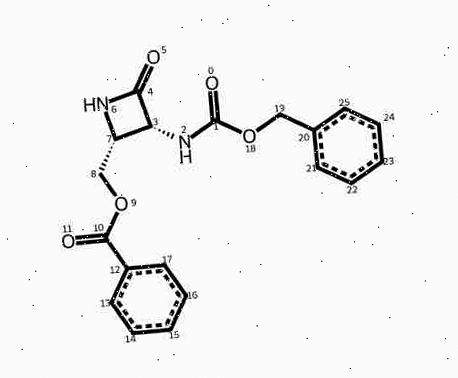 O=C(N[C@H]1C(=O)N[C@H]1COC(=O)c1ccccc1)OCc1ccccc1